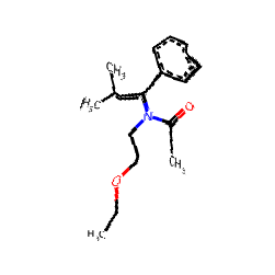 CCOCCN(C(C)=O)C(=C(C)C)c1ccccc1